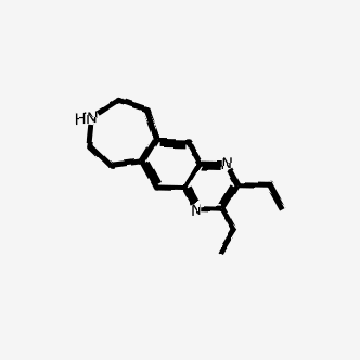 CCc1nc2cc3c(cc2nc1CC)CCNCC3